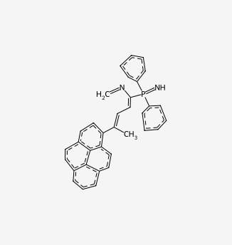 C=N/C(=C\C=C(/C)c1ccc2ccc3cccc4ccc1c2c34)P(=N)(c1ccccc1)c1ccccc1